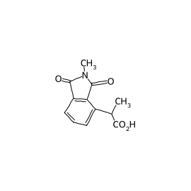 CC(C(=O)O)c1cccc2c1C(=O)N(C)C2=O